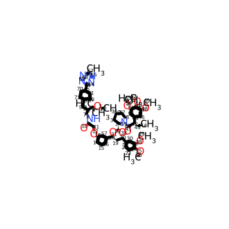 CCOC(C)(C)C(CNC(=O)COc1cccc([C@@H](CCc2ccc(OC)c(OC)c2)OC(=O)[C@@H]2CCCCN2C(=O)[C@@H](CC)c2cc(OC)c(OC)c(OC)c2)c1)Cc1ccc(-c2nnc(C)nn2)cc1